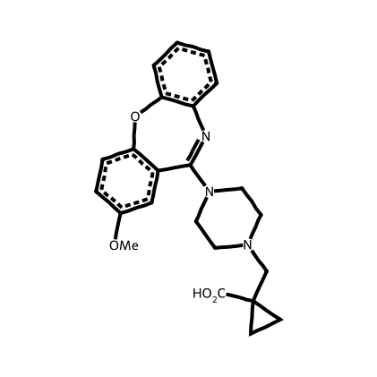 COc1ccc2c(c1)C(N1CCN(CC3(C(=O)O)CC3)CC1)=Nc1ccccc1O2